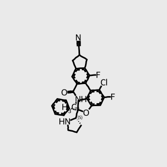 CNC(=O)c1cc2c(c(F)c1-c1c(Cl)c(F)cc3c1C[C@](c1ccccc1)([C@@H]1CCCN1)O3)CC(C#N)C2